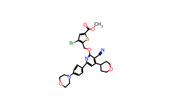 COC(=O)c1cc(Br)c(COc2nc(-c3ccc(N4CCOCC4)cc3)cc(C3CCOCC3)c2C#N)s1